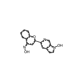 O/N=c1\cc(-c2cc3ccn(O)c3cn2)oc2ccccc12